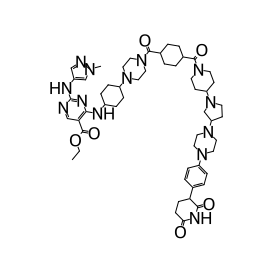 CCOC(=O)c1cnc(Nc2cnn(C)c2)nc1NC1CCC(N2CCN(C(=O)C3CCC(C(=O)N4CCC(N5CCC(N6CCN(c7ccc(C8CCC(=O)NC8=O)cc7)CC6)C5)CC4)CC3)CC2)CC1